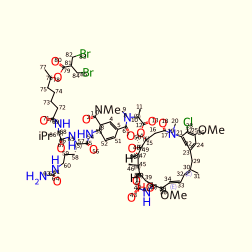 CNC(=O)c1cc(C(=O)N(C)[C@@H](C)C(=O)O[C@H]2CC(=O)N(C)c3cc(cc(OC)c3Cl)C/C(C)=C/C=C/[C@@H](OC)[C@@]3(O)C[C@H](OC(=O)N3)[C@@H](C)[C@@H]3O[C@@]23C)ccc1NC(=O)[C@H](CCCNC(N)=O)NC(=O)[C@@H](NC(=O)CCCCC(C)OC(=O)C(CBr)CBr)C(C)C